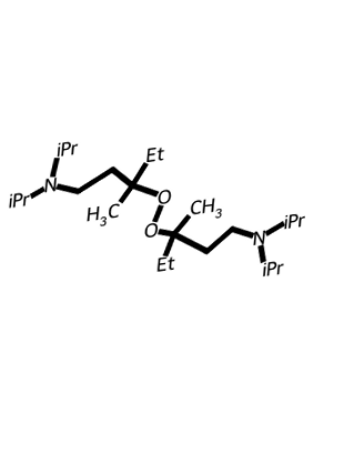 CCC(C)(CCN(C(C)C)C(C)C)OOC(C)(CC)CCN(C(C)C)C(C)C